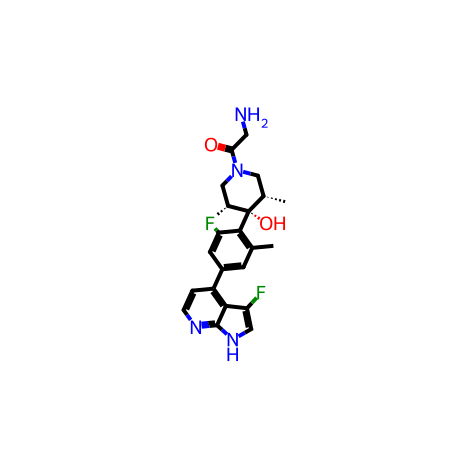 Cc1cc(-c2ccnc3[nH]cc(F)c23)cc(F)c1[C@@]1(O)[C@H](C)CN(C(=O)CN)C[C@@H]1C